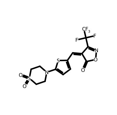 O=C1ON=C(C(F)(F)C(F)(F)F)/C1=C/c1ccc(N2CCS(=O)(=O)CC2)s1